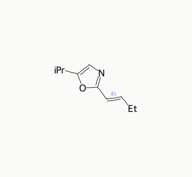 CC/C=C/c1ncc(C(C)C)o1